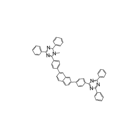 CN1C(c2ccc(-c3ccc4ccc(-c5ccc(-c6nc(-c7ccccc7)nc(-c7ccccc7)n6)cc5)cc4c3)cc2)=NC(c2ccccc2)=NC1c1ccccc1